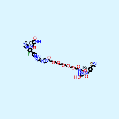 Cc1ncsc1-c1ccc(CNC(=O)[C@@H]2C[C@@H](O)CN2C(=O)[C@@H](NC(=O)CCOCCOCCOCCOCCOCCC(=O)N2CCN(Cc3cnc(N4CC=C(c5cc(NC(=O)c6c[nH]c(=O)cc6C(F)(F)F)c(N6C[C@@H](C)N(C)[C@@H](C)C6)cc5F)CC4)nc3)CC2)C(C)(C)C)cc1